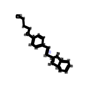 ClCCCOc1ccc(/C=C/c2nc3ccccc3s2)cc1